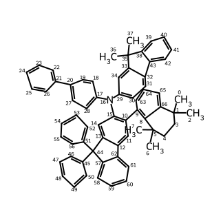 CC1(C)CCC(C)(C)c2c(-c3cc4c(cc3N(c3ccc(-c5ccccc5)cc3)c3ccc5c(c3)C(C)(C)c3ccccc3-5)C(c3ccccc3)(c3ccccc3)c3ccccc3-4)cccc21